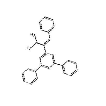 CN(C)C(=Cc1ccccc1)c1nc(-c2ccccc2)nc(-c2ccccc2)n1